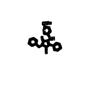 COc1ccc(NC2=C(c3ccccc3)C(=S)N(Cc3ccccc3)C2=S)cc1